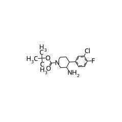 CC(C)(C)OC(=O)N1CCC(c2ccc(F)c(Cl)c2)C(N)C1